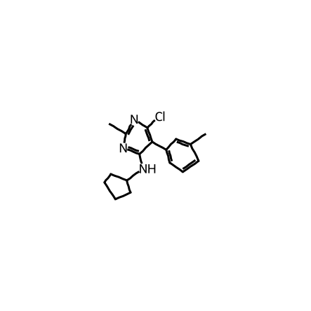 Cc1cccc(-c2c(Cl)nc(C)nc2NC2CCCC2)c1